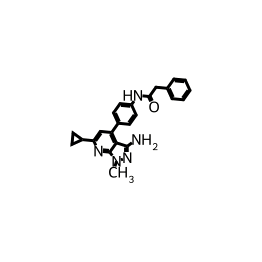 Cn1nc(N)c2c(-c3ccc(NC(=O)Cc4ccccc4)cc3)cc(C3CC3)nc21